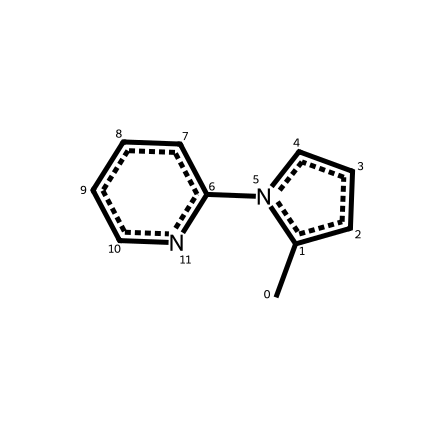 Cc1cccn1-c1ccccn1